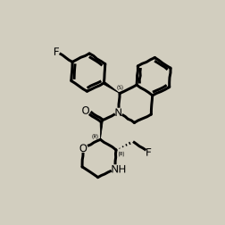 O=C([C@@H]1OCCN[C@H]1CF)N1CCc2ccccc2[C@@H]1c1ccc(F)cc1